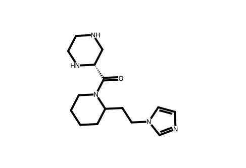 O=C([C@H]1CNCCN1)N1CCCCC1CCn1ccnc1